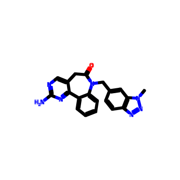 Cn1nnc2ccc(CN3C(=O)Cc4cnc(N)nc4-c4ccccc43)cc21